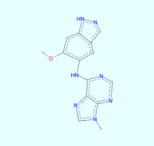 COc1cc2[nH]ncc2cc1Nc1ncnc2c1ncn2C